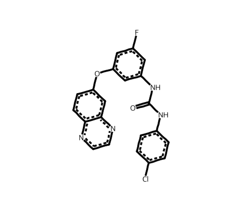 O=C(Nc1ccc(Cl)cc1)Nc1cc(F)cc(Oc2ccc3nccnc3c2)c1